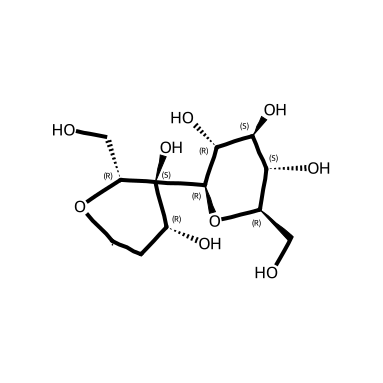 OC[C@H]1O[C@@H]([C@]2(O)[C@H](O)C[CH]O[C@@H]2CO)[C@H](O)[C@@H](O)[C@@H]1O